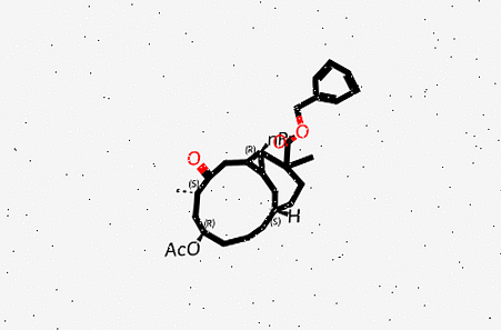 CCC[C@@]12C3CC(=O)[C@@H](C)C[C@H](OC(C)=O)CCC[C@@H](CCC1(C)C(=O)OCc1ccccc1)CC32